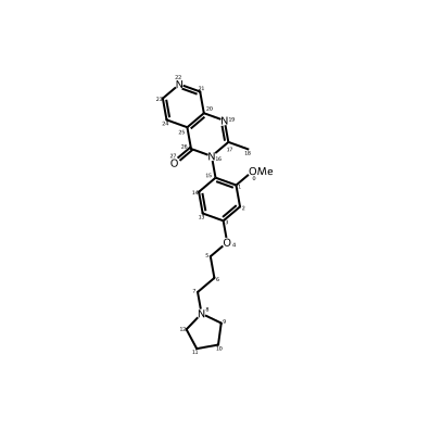 COc1cc(OCCCN2CCCC2)ccc1-n1c(C)nc2cnccc2c1=O